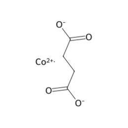 O=C([O-])CCC(=O)[O-].[Co+2]